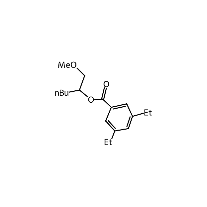 CCCCC(COC)OC(=O)c1cc(CC)cc(CC)c1